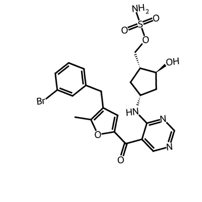 Cc1oc(C(=O)c2cncnc2N[C@@H]2C[C@H](COS(N)(=O)=O)[C@@H](O)C2)cc1Cc1cccc(Br)c1